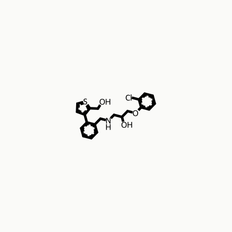 OCc1sccc1-c1ccccc1CNCC(O)COc1ccccc1Cl